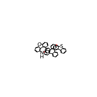 c1ccc(-c2ccccc2-c2cccc(-c3cccc4oc5cccc(Nc6ccc(-c7ccc8sc9ccccc9c8c7)cc6)c5c34)c2)cc1